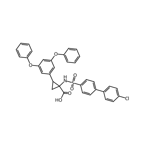 O=C(O)C1(NS(=O)(=O)c2ccc(-c3ccc(Cl)cc3)cc2)CC1c1cc(Oc2ccccc2)cc(Oc2ccccc2)c1